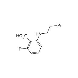 CC(C)CCNc1cccc(F)c1C(=O)O